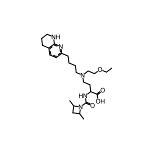 CCOCCN(CCCCc1ccc2c(n1)NCCC2)CCC(NC(=O)N1C(C)CC1C)C(=O)O